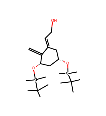 C=C1C(=CCO)C[C@H](O[Si](C)(C)C(C)(C)C)C[C@@H]1O[Si](C)(C)C(C)(C)C